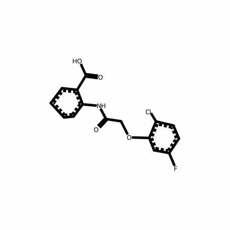 O=C(COc1cc(F)ccc1Cl)Nc1ccccc1C(=O)O